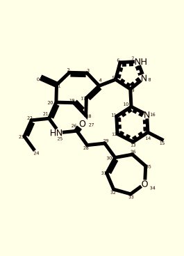 C=C1\C=C/C(c2c[nH]nc2-c2cccc(C)n2)=C/C=C/C1=C(/C=C\C)NC(=O)CCC1=CCCOCC1